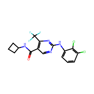 O=C(NC1CCC1)c1cnc(Nc2cccc(Cl)c2Cl)nc1C(F)(F)F